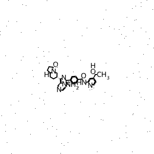 CC(O)c1ccnc(NC(=O)c2ccc(C3=NC([C@@H]4CC[C@H]5CCC(=O)N5C4)=C4C=NC=C[N+]34N)cc2)c1